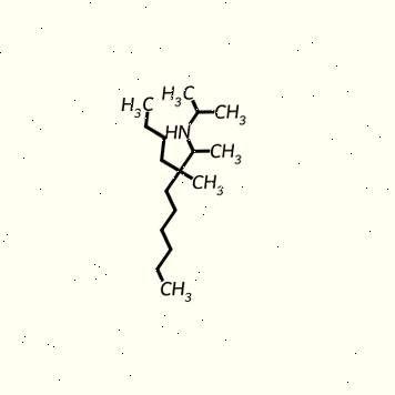 CCCCCCC(C)(CCCC)C(C)NC(C)C